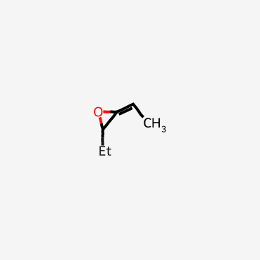 CC=C1OC1CC